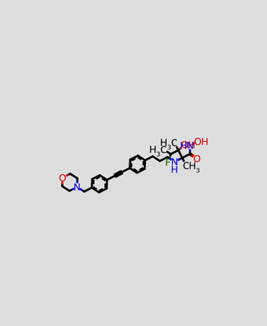 CC(F)C(C)(O)C(C)(NCCCc1ccc(C#Cc2ccc(CN3CCOCC3)cc2)cc1)C(=O)NO